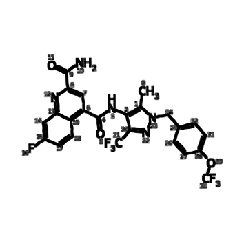 Cc1c(NC(=O)c2cc(C(N)=O)nc3cc(F)ccc23)c(C(F)(F)F)nn1Cc1ccc(OC(F)(F)F)cc1